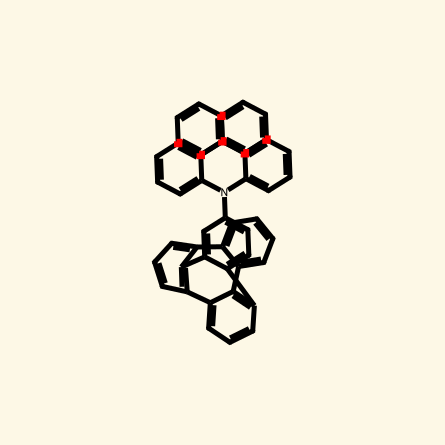 c1ccc(-c2ccccc2N(c2ccc3c(c2)-c2c4cccc2-c2cccc-3c2-c2ccccc2-4)c2ccccc2-c2ccccc2)cc1